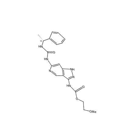 COCCOC(=O)Nc1n[nH]c2cc(NC(=O)N[C@H](C)c3ccccc3)ncc12